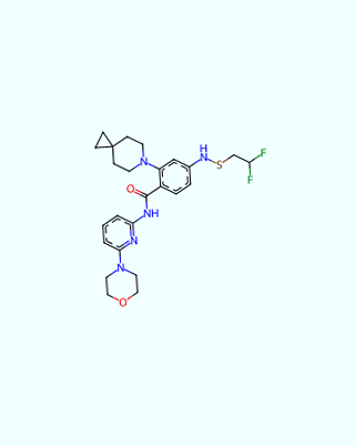 O=C(Nc1cccc(N2CCOCC2)n1)c1ccc(NSCC(F)F)cc1N1CCC2(CC1)CC2